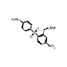 COCc1cc([N+](=O)[O-])ccc1S(=O)(=O)c1ccc(NC(C)=O)cc1